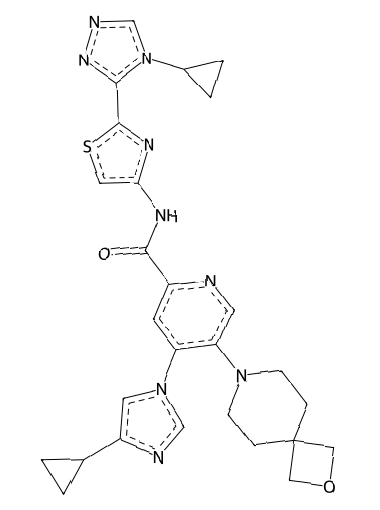 O=C(Nc1csc(-c2nncn2C2CC2)n1)c1cc(-n2cnc(C3CC3)c2)c(N2CCC3(CC2)COC3)cn1